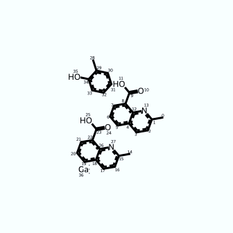 Cc1ccc2cccc(C(=O)O)c2n1.Cc1ccc2cccc(C(=O)O)c2n1.Cc1ccccc1O.[Ga]